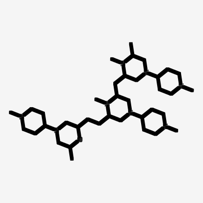 CC1CN(C2CCN(C)CC2)CC(CCC2CN(C3CCN(C)CC3)CC(CC3CN(C4CCN(C)CC4)CC(C)N3C)N2C)O1